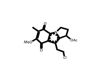 COC1=C(C)C(=O)c2c(c(CCCl)c3n2CCC3OC(C)=O)C1=O